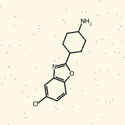 NC1CCC(c2nc3cc(Cl)ccc3o2)CC1